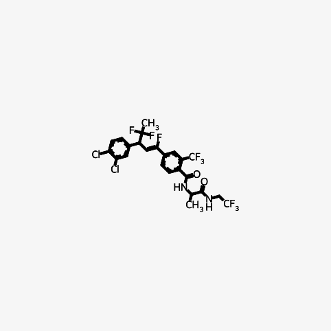 CC(NC(=O)c1ccc(/C(F)=C/C(c2ccc(Cl)c(Cl)c2)C(C)(F)F)cc1C(F)(F)F)C(=O)NCC(F)(F)F